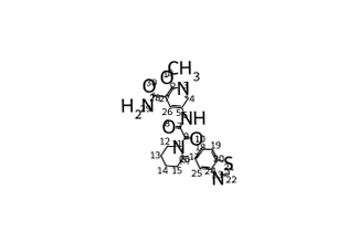 COc1ncc(NC(=O)C(=O)N2CCCC[C@H]2c2ccc3scnc3c2)cc1C(N)=O